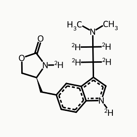 [2H]N1C(=O)OC[C@@H]1Cc1ccc2c(c1)c(C([2H])([2H])C([2H])([2H])N(C)C)cn2[2H]